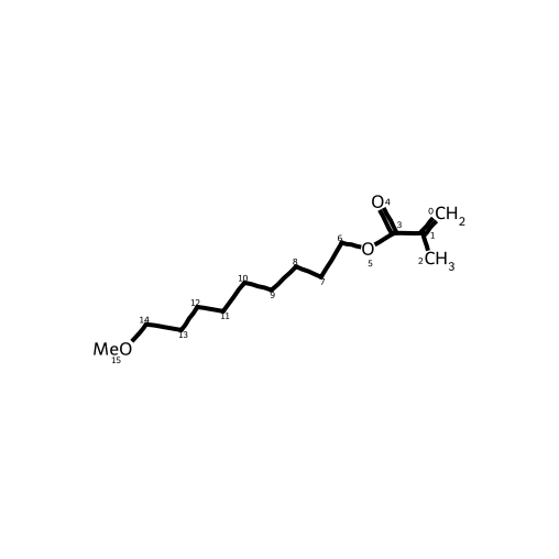 C=C(C)C(=O)OCCCCCCCCCOC